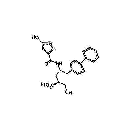 CCOC(=O)[C@H](CO)C[C@@H](Cc1ccc(-c2ccccc2)cc1)NC(=O)c1cc(O)no1